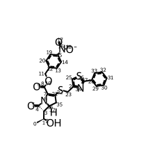 C[C@H](O)[C@@H]1C(=O)N2C(C(=O)OCc3ccc([N+](=O)[O-])cc3)=C(SCc3csc(-c4ccccc4)n3)C[C@H]12